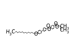 CCCCCCCCCCCCCCCOc1ccc(-c2ccc(C(=O)Oc3ccc(C(=O)OCC(C)CC)cc3)cc2)cc1